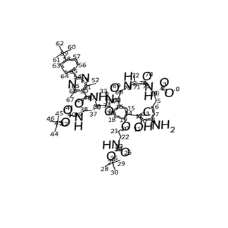 COC(=O)[C@@H]1Cc2cc(N)c(O)c(c2)-c2cc(ccc2OCCNC(=O)OC(C)(C)C)[C@H](N(C)C(=O)[C@H](CCNC(=O)OC(C)(C)C)NC(=O)c2c(C)nc(-c3ccc(C(C)(C)C)cc3)nc2C)C(=O)N[C@@H](C)C(=O)N1